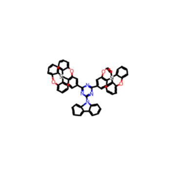 c1ccc2c(c1)Oc1ccccc1[Si]21c2ccccc2Oc2cc(-c3nc(-c4ccc5c(c4)Oc4ccccc4[Si]54c5ccccc5Oc5ccccc54)nc(-n4c5ccccc5c5ccccc54)n3)ccc21